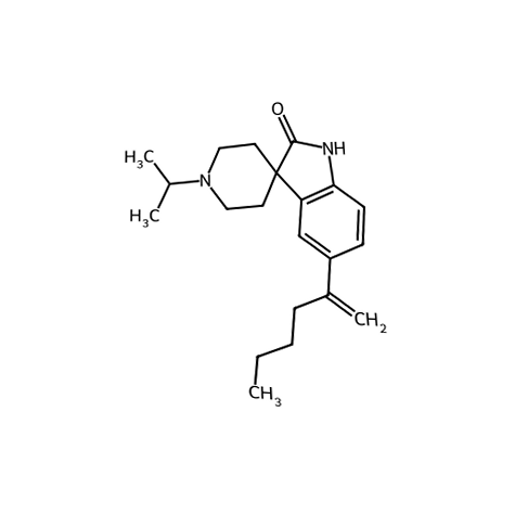 C=C(CCCC)c1ccc2c(c1)C1(CCN(C(C)C)CC1)C(=O)N2